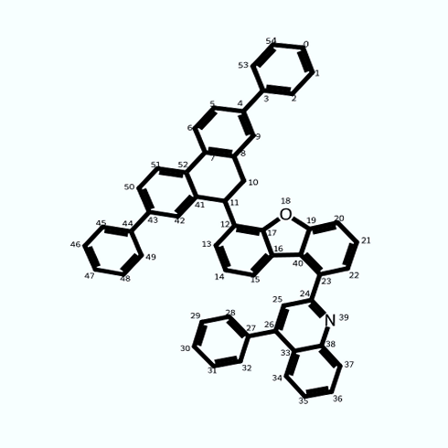 c1ccc(-c2ccc3c(c2)CC(c2cccc4c2oc2cccc(-c5cc(-c6ccccc6)c6ccccc6n5)c24)c2cc(-c4ccccc4)ccc2-3)cc1